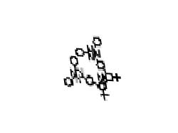 Cn1c2c(-c3ccc(-c4nc(-c5ccccc5)nc(-c5ccccc5)n4)cc3)cc(C(C)(C)C)cc2c2cc(C(C)(C)C)cc(-c3ccc(-c4nc(-c5ccccc5)nc(-c5ccccc5)n4)cc3)c21